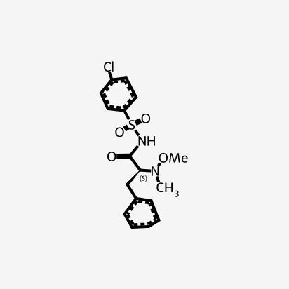 CON(C)[C@@H](Cc1ccccc1)C(=O)NS(=O)(=O)c1ccc(Cl)cc1